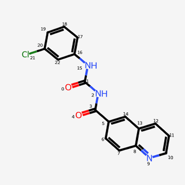 O=C(NC(=O)c1ccc2ncccc2c1)Nc1cccc(Cl)c1